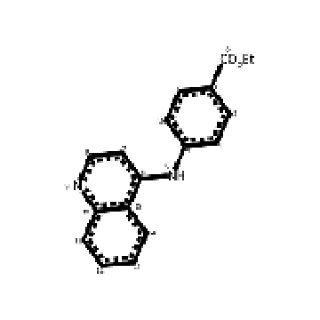 CCOC(=O)c1ccc(Nc2ccnc3ccccc23)cc1